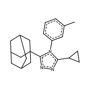 Cc1cccc(-n2c(C3CC3)nnc2C23CC4CC(CC(C4)C2)C3)c1